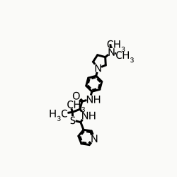 CN(C)C1CCN(c2ccc(NC(=O)C3NC(c4cccnc4)SC3(C)C)cc2)C1